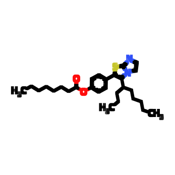 CCCCCCCC(=O)Oc1ccc(-c2sc3nccn3c2C(CCC)CCCCC)cc1